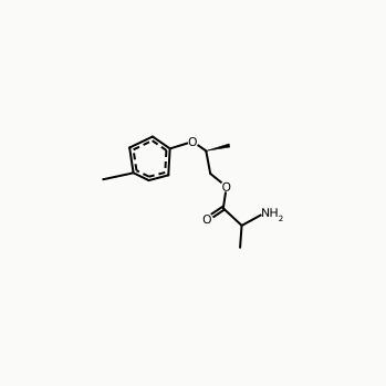 Cc1ccc(O[C@@H](C)COC(=O)C(C)N)cc1